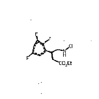 CCOC(=O)CC(CNCl)c1cc(F)cc(F)c1F